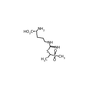 CC(SC(=N)NCCC[C@H](N)C(=O)O)S(C)(=O)=O